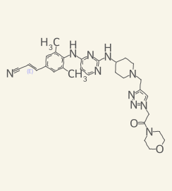 Cc1cc(/C=C/C#N)cc(C)c1Nc1ccnc(NC2CCN(Cc3cn(CC(=O)N4CCOCC4)nn3)CC2)n1